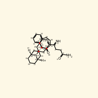 N=C(CCC(N)=O)c1nc2ccccc2n([C@H]2C[C@H]3CCC[C@@H](C2)N3C2CC3CCCCC(C3)C2)c1=O